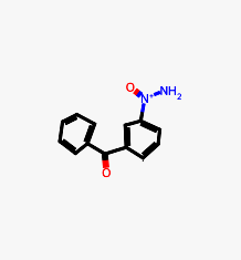 N[N+](=O)c1cc[c]c(C(=O)c2ccccc2)c1